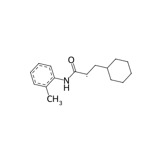 Cc1ccccc1NC(=O)[CH]CC1CCCCC1